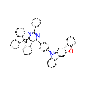 c1ccc(-c2nc(-c3ccc(-n4c5ccccc5c5cc6oc7ccccc7c6cc54)cc3)c3c(n2)[Si](c2ccccc2)(c2ccccc2)c2ccccc2-3)cc1